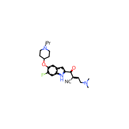 CC(C)N1CCC(Oc2cc3cc(C(=O)/C(C#N)=C/CN(C)C)[nH]c3cc2F)CC1